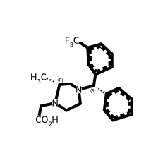 C[C@@H]1CN([C@@H](c2ccccc2)c2cccc(C(F)(F)F)c2)CCN1CC(=O)O